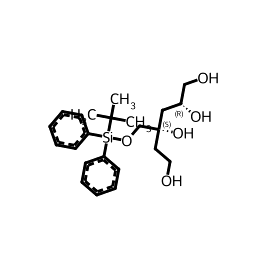 CC(C)(C)[Si](OC[C@](O)(CCO)C[C@@H](O)CO)(c1ccccc1)c1ccccc1